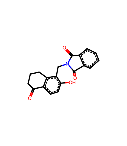 O=C1CCCc2c1ccc(O)c2CN1C(=O)c2ccccc2C1=O